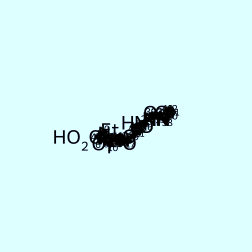 CCn1cc(C(=O)O)c(=O)c2cc(F)c(N3CCN(C(=O)OCc4ccc(NC(=O)CNC(=O)C(C)(C)C(=O)NC(C)c5ccccc5)cc4)CC3)cc21